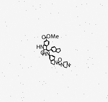 COC(=O)c1ccc2c(c1)NC(=O)/C2=C(\Nc1ccc2c(c1)CCN2C(=O)CN1CCN(C)CC1)c1ccc2c(c1)CCC2